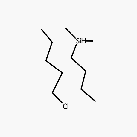 CCCCCCl.CCCC[SiH](C)C